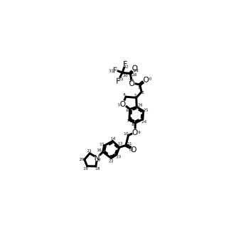 O=C(CC1COc2cc(OCC(=O)c3ccc(N4CCCC4)cc3)ccc21)OC(=O)C(F)(F)F